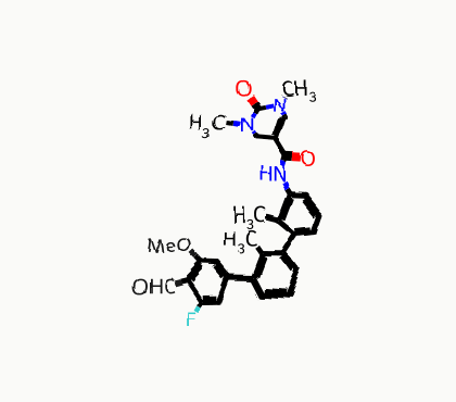 COc1cc(-c2cccc(-c3cccc(NC(=O)C4=CN(C)C(=O)N(C)C4)c3C)c2C)cc(F)c1C=O